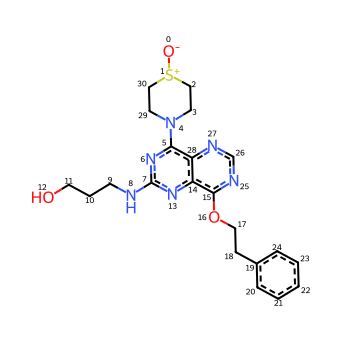 [O-][S+]1CCN(c2nc(NCCCO)nc3c(OCCc4ccccc4)ncnc23)CC1